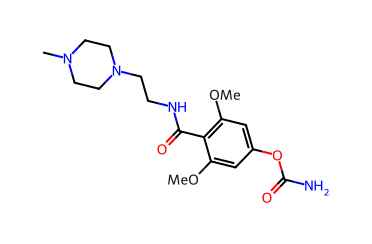 COc1cc(OC(N)=O)cc(OC)c1C(=O)NCCN1CCN(C)CC1